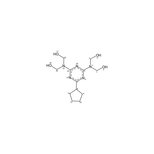 OCN(CO)c1nc(C2CCCC2)nc(N(CO)CO)n1